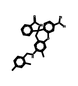 CCN(CC)c1ccc2c(c1)Oc1cc(C)c(NCc3ccc(C)cc3C)cc1CC21NC(=O)c2ccccc21